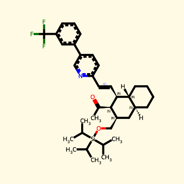 CC(=O)[C@@H]1[C@H](CO[Si](C(C)C)(C(C)C)C(C)C)C[C@@H]2CCCC[C@H]2[C@@H]1/C=C/c1ccc(-c2cccc(C(F)(F)F)c2)cn1